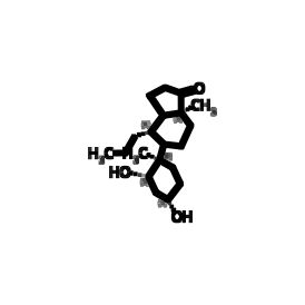 CCC[C@@H]1C2CCC(=O)[C@@]2(C)CCC1[C@@]1(C)CC[C@H](O)C[C@@H]1O